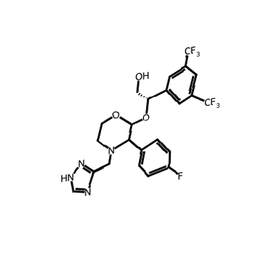 OC[C@@H](OC1OCCN(Cc2nc[nH]n2)C1c1ccc(F)cc1)c1cc(C(F)(F)F)cc(C(F)(F)F)c1